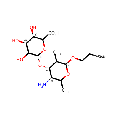 CSCCO[C@H]1OC(C)[C@H](N)[C@H](O[C@H]2OC(C(=O)O)[C@H](O)[C@H](O)C2O)C1C